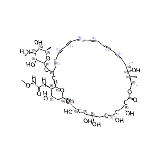 CONC(=O)N[C@H]1[C@@H]2C[C@@H](O[C@@H]3O[C@H](C)[C@@H](O)[C@H](N)[C@@H]3O)/C=C/C=C/C=C/C=C/C=C/C=C/C=C/[C@H](C)[C@@H](O)[C@@H](C)[C@H](C)OC(=O)C[C@H](O)C[C@H](O)CC[C@@H](O)[C@H](O)C[C@H](O)C[C@](O)(C[C@@H]1O)O2